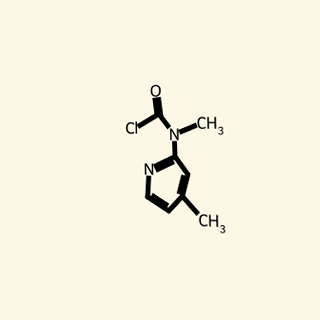 Cc1ccnc(N(C)C(=O)Cl)c1